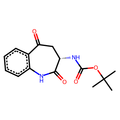 CC(C)(C)OC(=O)N[C@H]1CC(=O)c2ccccc2NC1=O